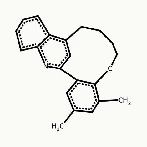 Cc1cc(C)c2c(c1)-c1cc(c3ccccc3n1)CCCCC2